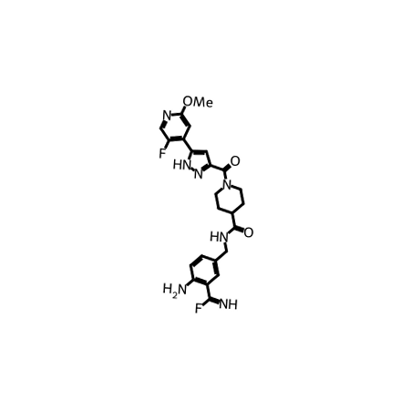 COc1cc(-c2cc(C(=O)N3CCC(C(=O)NCc4ccc(N)c(C(=N)F)c4)CC3)n[nH]2)c(F)cn1